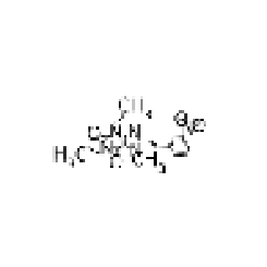 CCCn1c(=O)c2c(nc(C=Cc3cccc([N+](=O)[O-])c3)n2C)n(CCC)c1=O